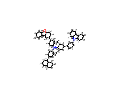 Cc1cc(-c2cccc(-n3c4ccccc4c4ccccc43)c2)cc(C)c1N(c1ccc(-c2ccc3oc4ccccc4c3c2)cc1)c1ccc(-c2cccc3ccccc23)cc1